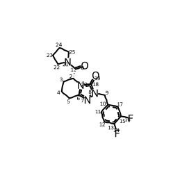 O=C([C@H]1CCCc2nn(Cc3ccc(F)c(F)c3)c(=O)n21)N1CCCC1